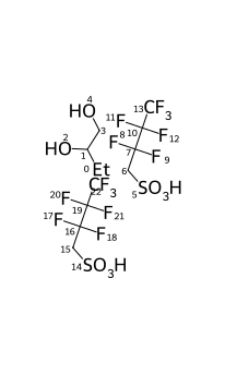 CCC(O)CO.O=S(=O)(O)CC(F)(F)C(F)(F)C(F)(F)F.O=S(=O)(O)CC(F)(F)C(F)(F)C(F)(F)F